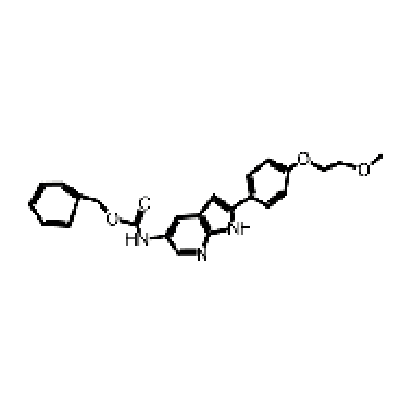 COCCOc1ccc(-c2cc3cc(NC(=O)OCc4ccccc4)cnc3[nH]2)cc1